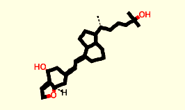 C[C@H](CCCC(C)(C)O)C1CCC2/C(=C/C=C3\C[C@@H](O)C4=CCO[C@@H]4C3)CCCC21